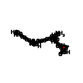 CCCC1O[C@@H]2C[C@H]3[C@@H]4CCC5=CC(=O)C=C[C@]5(C)[C@H]4[C@@H](O)C[C@]3(C)[C@]2(C(=O)COCN(C)C(=O)[C@H](C)NC(=O)OCc2ccc(NC(=O)[C@H](CCCNC(N)=O)NC(=O)[C@@H](NC(=O)CCOCCOCCOCCOCCNC(=O)CCC(=O)N3Cc4ccccc4-c4c(nnn4CCOCCOCCOCCOCCC(=O)NCCS(=O)(=O)O)-c4ccccc43)C(C)C)cc2)O1